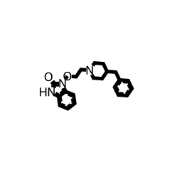 O=c1[nH]c2ccccc2n1OCCN1CCC(Cc2ccccc2)CC1